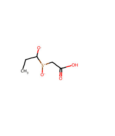 CCC([O])[S+]([O-])CC(=O)O